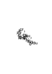 CC(C)(C)OC(=O)N1CC2(CC(n3nc(-c4cnn(Cc5ccc(CC(F)(F)F)cc5)c4)c(C#N)c3N)C2)C1